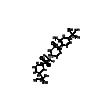 CC(C)([C@H]1CCN(c2ccc(C(F)(F)F)cc2F)C(=O)C1)S(=O)(=O)c1cccc(C(F)(F)F)c1